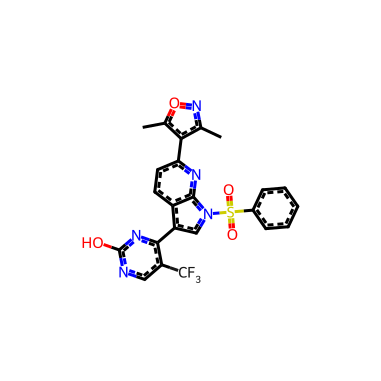 Cc1noc(C)c1-c1ccc2c(-c3nc(O)ncc3C(F)(F)F)cn(S(=O)(=O)c3ccccc3)c2n1